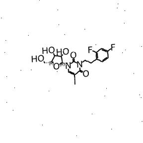 O=c1c(I)cn([C@@H]2O[C@H](CO)C(O)C2O)c(=O)n1CCc1ccc(F)cc1F